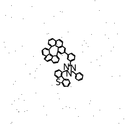 c1ccc(-c2nc(-c3cccc(-c4cc5ccc6cccc7c8cccc9ccc%10cccc(c(c4)c5c67)c%10c98)c3)nc(-c3cccc4sc5ccccc5c34)n2)cc1